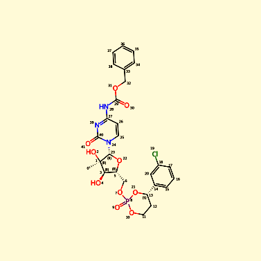 C[C@@]1(O)[C@H](O)[C@@H](COP2(=O)OCC[C@@H](c3cccc(Cl)c3)O2)O[C@H]1n1ccc(NC(=O)OCc2ccccc2)nc1=O